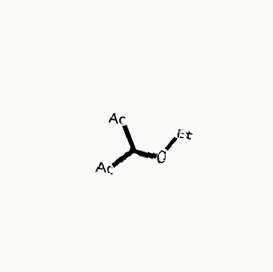 CCOC(C(C)=O)C(C)=O